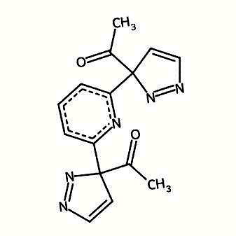 CC(=O)C1(c2cccc(C3(C(C)=O)C=CN=N3)n2)C=CN=N1